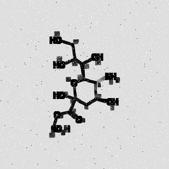 N[C@@H]1[C@@H](O)CC(O)(C(=O)OS(=O)(=O)O)O[C@H]1C(O)C(O)CO